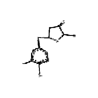 Cc1cc(CC2CC(=O)C(C)S2)ccc1S